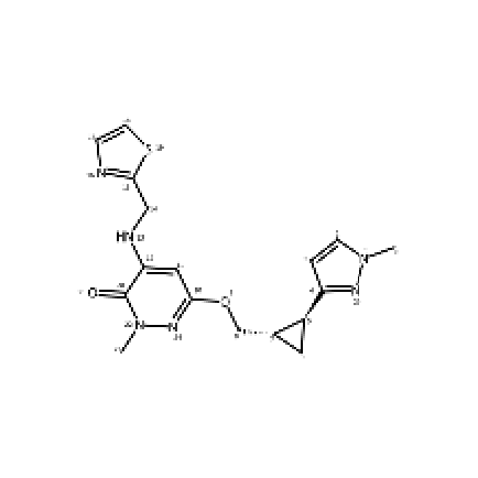 Cn1ccc([C@H]2C[C@@H]2COc2cc(NCc3nccs3)c(=O)n(C)n2)n1